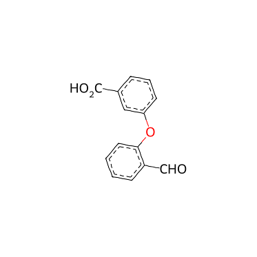 O=Cc1ccccc1Oc1cccc(C(=O)O)c1